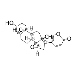 C[C@]12CCC(O)C=C1CC[C@@H]1[C@@H]2CC[C@]2(C)[C@@H](c3ccc(=O)oc3)C[C@H]3O[C@]132